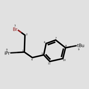 CC(C)C(CBr)Cc1ccc(C(C)(C)C)cc1